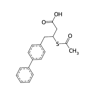 CC(=O)SC(CC(=O)O)Cc1ccc(-c2ccccc2)cc1